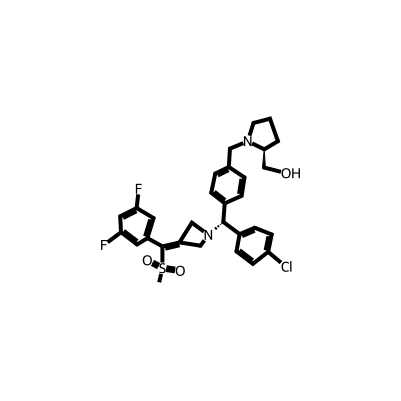 CS(=O)(=O)C(=C1CN([C@@H](c2ccc(Cl)cc2)c2ccc(CN3CCC[C@H]3CO)cc2)C1)c1cc(F)cc(F)c1